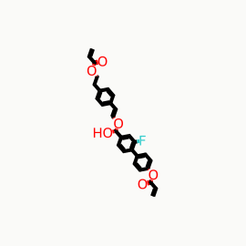 C=CC(=O)OCCc1ccc(/C=C/OC(O)c2ccc(-c3ccc(OC(=O)C=C)cc3)c(F)c2)cc1